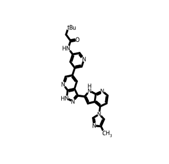 Cc1cn(-c2ccnc3[nH]c(-c4n[nH]c5ncc(-c6cncc(NC(=O)CC(C)(C)C)c6)cc45)cc23)cn1